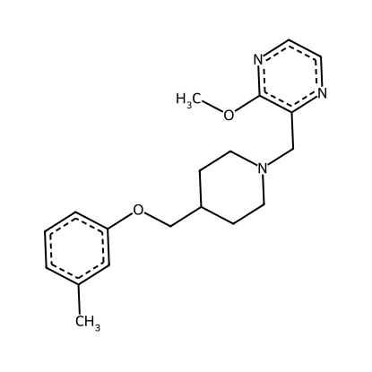 COc1nccnc1CN1CCC(COc2cccc(C)c2)CC1